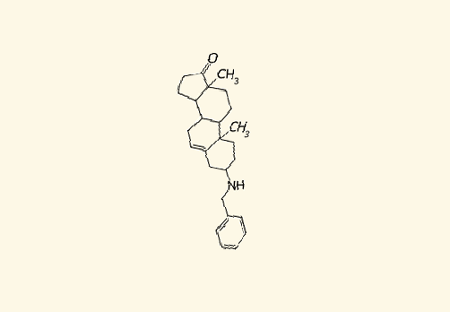 CC12CCC3C(CC=C4CC(NCc5ccccc5)CCC43C)C1CCC2=O